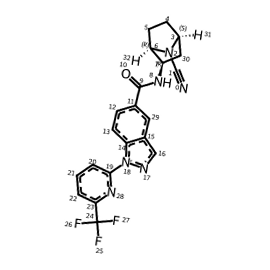 N#CN1[C@H]2CC[C@@H]1[C@H](NC(=O)c1ccc3c(cnn3-c3cccc(C(F)(F)F)n3)c1)C2